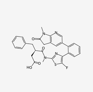 CN(C(=O)[C@@H](CC(=O)O)Cc1ccccc1)c1nc(-c2ccccc2-c2cnc3c(c2)CC(=O)N3C)c(F)s1